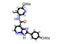 COc1ccc(-c2nc3c(C(=O)Nc4cnc(OC)cc4C)ccnc3[nH]2)cc1